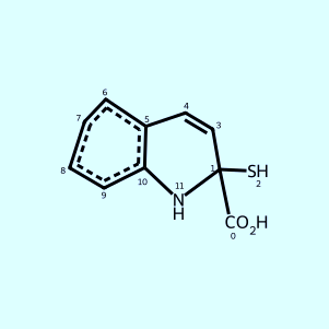 O=C(O)C1(S)C=Cc2ccccc2N1